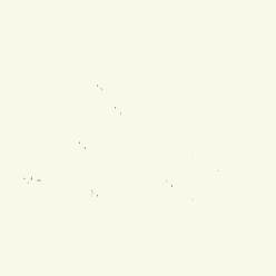 CCOc1cnn(-c2nc(SC)nc3c2C(=O)N([C@H]2CCCCC2(F)F)C3)c1